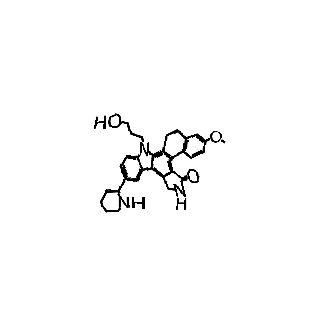 COc1ccc2c(c1)CCc1c-2c2c(c3c4cc(C5CCCCN5)ccc4n(CCCO)c13)CNC2=O